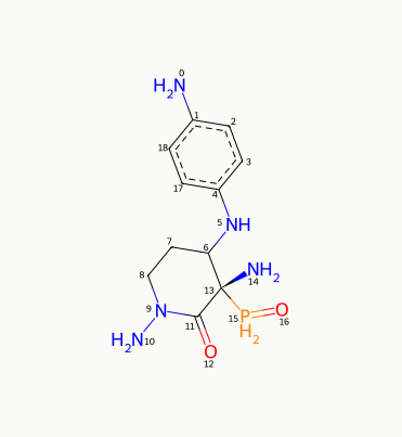 Nc1ccc(NC2CCN(N)C(=O)[C@@]2(N)[PH2]=O)cc1